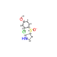 COc1ccc([S+]([O-])C2CCNC2)c(Cl)c1